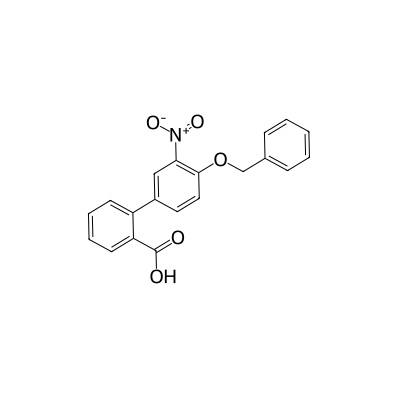 O=C(O)c1ccccc1-c1ccc(OCc2ccccc2)c([N+](=O)[O-])c1